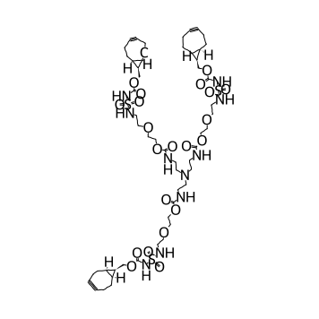 O=C(NCCN(CCNC(=O)OCCOCCNS(=O)(=O)NC(=O)OC[C@@H]1[C@@H]2CCC#CCC[C@@H]21)CCNC(=O)OCCOCCNS(=O)(=O)NC(=O)OC[C@@H]1[C@@H]2CCC#CCC[C@@H]21)OCCOCCNS(=O)(=O)NC(=O)OC[C@@H]1[C@@H]2CCC#CCC[C@@H]21